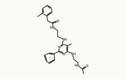 CC(=O)NCCNc1nc(-c2ccccc2)nc(NCCNC(=O)Cc2ccccc2C)c1C